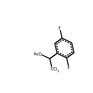 CC(=O)OC(c1cc(F)ccc1F)C(Cl)(Cl)Cl